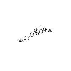 CCCCOc1ccc(OC(=O)[C@H]2CC[C@H]([C@H]3CC[C@H](CCCC)CC3)CC2)c(F)c1F